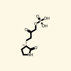 O=C(CC[C@H]1CCNC1=O)COP(=O)(O)O